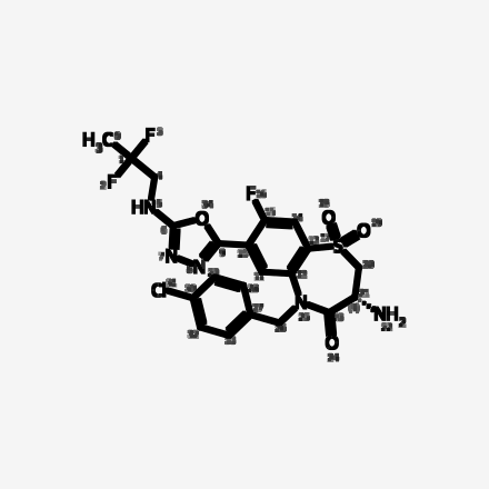 CC(F)(F)CNc1nnc(-c2cc3c(cc2F)S(=O)(=O)C[C@H](N)C(=O)N3Cc2ccc(Cl)cc2)o1